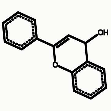 OC1C=C(c2ccccc2)Oc2ccccc21